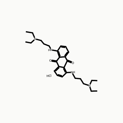 CCN(CC)CCCNc1cccc2c1C(=O)c1cccc(NCCCN(CC)CC)c1C2=O.Cl